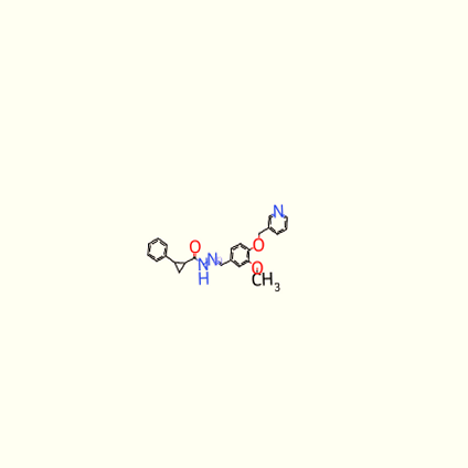 COc1cc(/C=N/NC(=O)C2CC2c2ccccc2)ccc1OCc1cccnc1